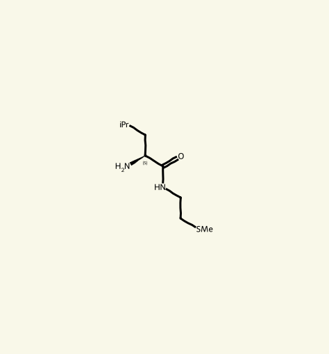 CSCCNC(=O)[C@@H](N)CC(C)C